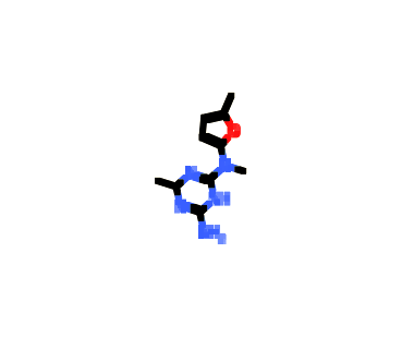 Cc1ccc(N(C)C2=NC(C)N=C(N)N2)o1